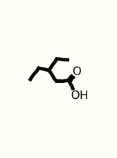 CCC(CC)CC(=O)O